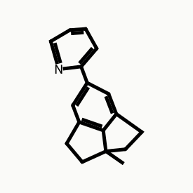 CC12CCc3cc(-c4ccccn4)cc(c31)CC2